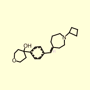 OC1(c2ccc(/C=C3\CCCN(C4CCC4)CC3)cc2)CCOCC1